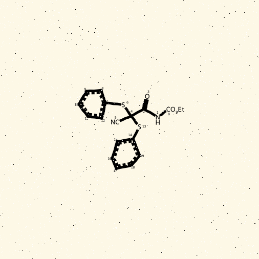 CCOC(=O)NC(=O)C(C#N)(Sc1ccccc1)Sc1ccccc1